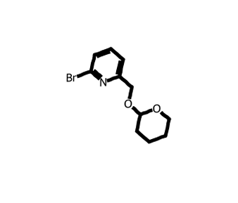 Brc1cccc(COC2CCCCO2)n1